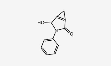 O=C1C2=C(C2)C(O)N1c1ccccc1